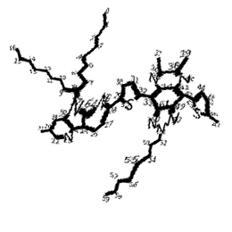 CCCCCCCCC(CCCCCCCC)n1c2cc(C)cnc2c2ccc(-c3ccc(-c4c5nc(C)c(C)nc5c(-c5ccc(C)s5)c5nn(CCCCCCCC)nc45)s3)nc21